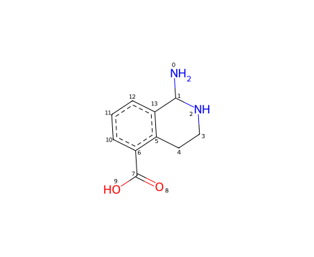 NC1NCCc2c(C(=O)O)cccc21